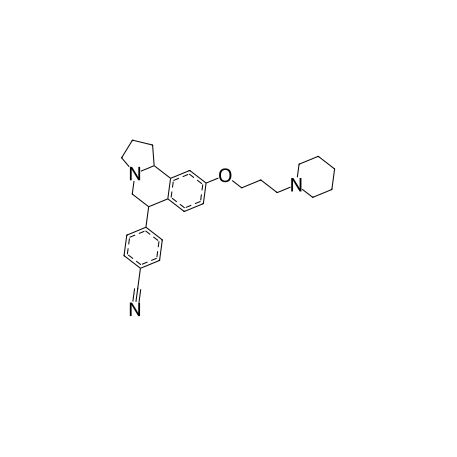 N#Cc1ccc(C2CN3CCCC3c3cc(OCCCN4CCCCC4)ccc32)cc1